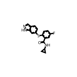 O=C(NC1CC1)c1cc(F)ccc1Sc1ccc2cn[nH]c2c1